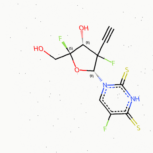 C#CC1(F)[C@@H](O)[C@@](F)(CO)O[C@H]1n1cc(F)c(=S)[nH]c1=S